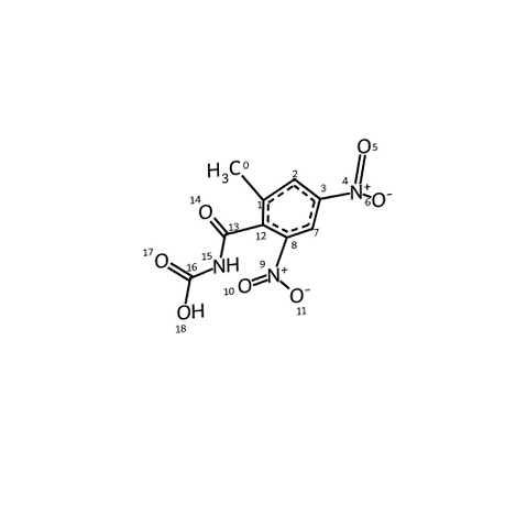 Cc1cc([N+](=O)[O-])cc([N+](=O)[O-])c1C(=O)NC(=O)O